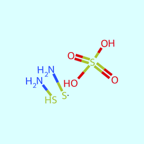 NS.N[S].O=S(=O)(O)O